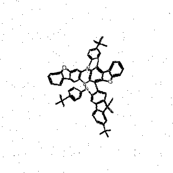 CC(C)(C)c1ccc(N2B3c4cc5c(cc4-n4c6ccc(C(C)(C)C)cc6c6c7c(oc8ccccc87)c(c3c64)-c3cc4c(cc32)-c2ccc(C(C)(C)C)cc2C4(C)C)oc2ccccc25)cc1